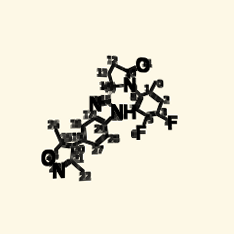 Cc1cc(F)c(F)cc1N1C(=O)CC[C@H]1c1nc2cc(-c3c(C)noc3C)ccc2[nH]1